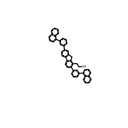 OCCc1c(-c2cccc(-c3cccc4ccccc34)c2)ccc2c1Cc1cc(-c3cccc(-c4cccc5ccccc45)c3)ccc1-2